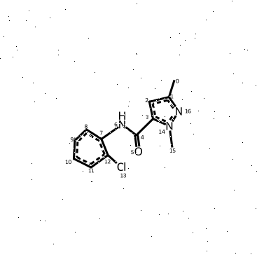 Cc1cc(C(=O)Nc2c[c]ccc2Cl)n(C)n1